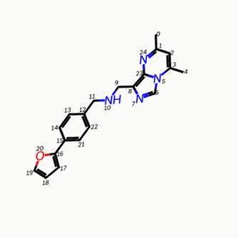 Cc1cc(C)n2cnc(CNCc3ccc(-c4ccco4)cc3)c2n1